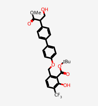 COC(=O)C(CO)c1ccc(-c2ccc(OCc3ccc(C(F)(F)F)c(O)c3C(=O)OC(C)(C)C)cc2)cc1